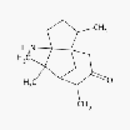 CC1C(=O)CC23CC1C(C)(C)C2(N)CCC3C